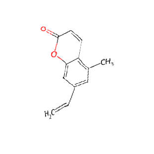 C=Cc1cc(C)c2ccc(=O)oc2c1